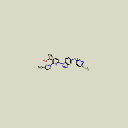 Cc1ccc(Nc2ccc3c(c2)ncn3-c2ccc(C(C)O)c(N3CCC(C#N)C3)n2)nn1